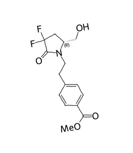 COC(=O)c1ccc(CCN2C(=O)C(F)(F)C[C@@H]2CO)cc1